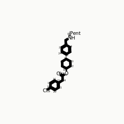 CCCC(C)NCc1ccc([C@H]2CC[C@H](OC(=O)Cc3ccc(Cl)cc3)CC2)cc1